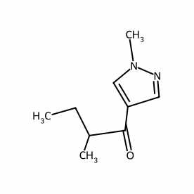 CCC(C)C(=O)c1cnn(C)c1